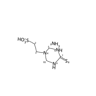 N.O=S(=O)(O)CCN1CNC(=S)NC1